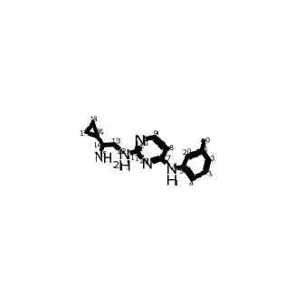 Cc1cccc(Nc2ccnc(NCC(N)C3CC3)n2)c1